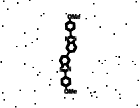 COc1ccc(-c2nc3cc(-c4ccc5sc(-c6ccc(OC)cc6)nc5c4)ccc3s2)cc1